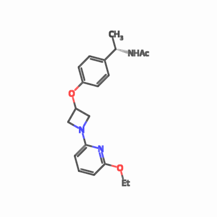 CCOc1cccc(N2CC(Oc3ccc([C@H](C)NC(C)=O)cc3)C2)n1